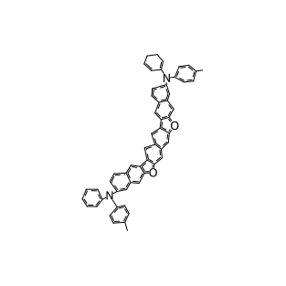 Cc1ccc(N(C2=CCCC=C2)c2ccc3cc4c(cc3c2)oc2cc3cc5oc6cc7cc(N(c8ccccc8)c8ccc(C)cc8)ccc7cc6c5cc3cc24)cc1